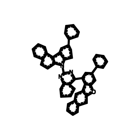 c1ccc(-c2cc(-c3nc(-n4c5ccc(-c6ccccc6)cc5c5c6ccccc6ccc54)nc4ccccc34)c3c(c2)oc2cc4ccccc4cc23)cc1